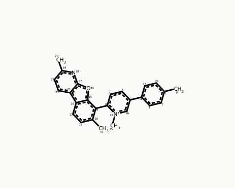 Cc1ccc(-c2ccc(-c3c(C)ccc4c3oc3nc(C)ccc34)[n+](C)c2)cc1